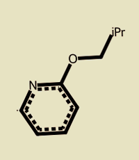 CC(C)COc1ccc[c]n1